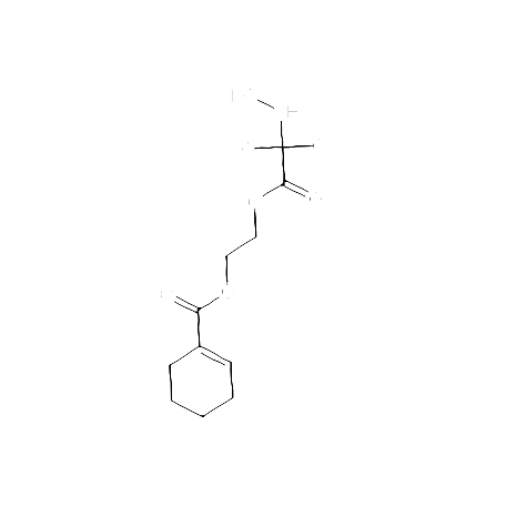 CPC(C)(C)C(=O)OCCOC(=O)C1=CCCCC1